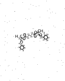 CC(COCc1ccccc1)OC(=O)CCCCC(=O)OC(C)COCc1ccccc1